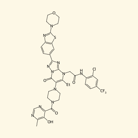 CCc1c(N2CCN(C(=O)c3ncnc(C)c3O)CC2)c(=O)n2nc(-c3ccc4nc(N5CCOCC5)sc4c3)nc2n1CC(=O)Nc1ccc(C(F)(F)F)cc1Cl